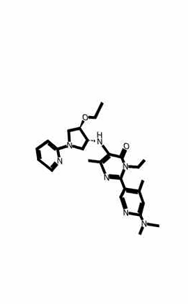 CCO[C@@H]1CN(c2ccccn2)C[C@H]1Nc1c(C)nc(-c2cnc(N(C)C)cc2C)n(CC)c1=O